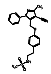 Cc1nn(-c2ccccc2)c(COc2ccc(CCNS(C)(=O)=O)cc2)c1C#N